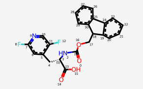 O=C(N[C@@H](Cc1cc(F)ncc1F)C(=O)O)OCC1c2ccccc2-c2ccccc21